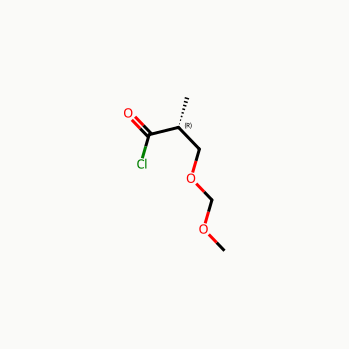 COCOC[C@@H](C)C(=O)Cl